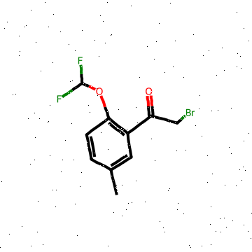 Cc1ccc(OC(F)F)c(C(=O)CBr)c1